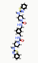 CN(c1nc2ccccc2s1)C1CCN(C(=O)NCc2cccc(CNC(=O)N3CCC(N(C)c4nc5ccccc5s4)CC3)c2)CC1